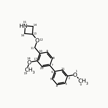 COc1cccc(-c2ccc(COC3CNC3)c(OC)c2)c1